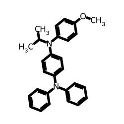 COc1ccc(N(c2ccc(N(c3ccccc3)c3ccccc3)cc2)C(C)C)cc1